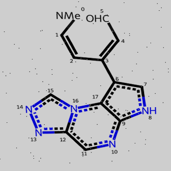 CN/C=C\C(=C/C=O)c1c[nH]c2ncc3nncn3c12